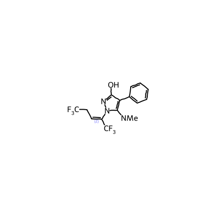 CNc1c(-c2ccccc2)c(O)nn1/C(=C\CC(F)(F)F)C(F)(F)F